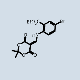 CCOC(=O)c1cc(Br)ccc1NC=C1C(=O)OC(C)(C)OC1=O